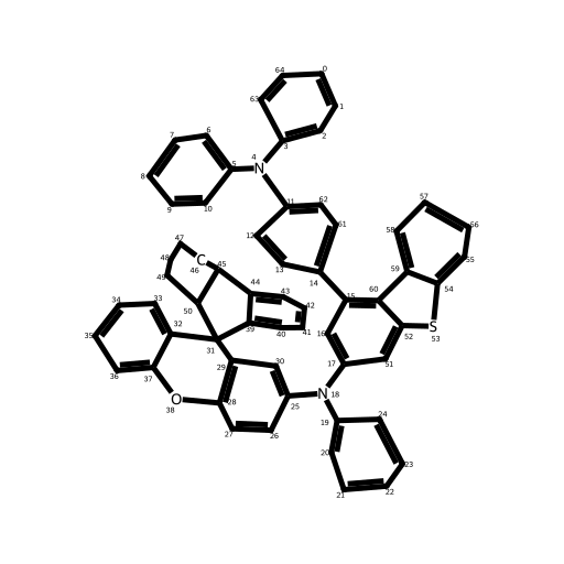 c1ccc(N(c2ccccc2)c2ccc(-c3cc(N(c4ccccc4)c4ccc5c(c4)C4(c6ccccc6O5)c5ccccc5C5CCCCC54)cc4sc5ccccc5c34)cc2)cc1